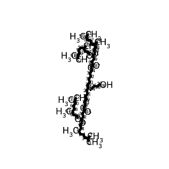 CC(C)=CCCC(C)CCOC(CCC(=O)OCCCCCCN(CCCCO)CCCCCCOC(=O)CCC(OCCC(C)CCC=C(C)C)OCCC(C)CCC=C(C)C)OCCC(C)CCC=C(C)C